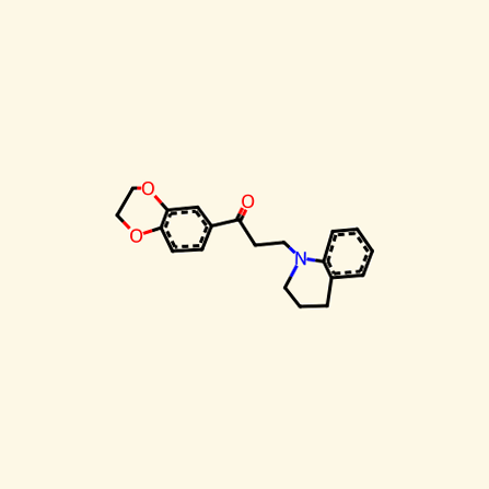 O=C(CCN1CCCc2ccccc21)c1ccc2c(c1)OCCO2